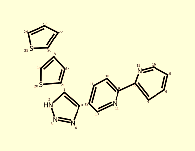 c1c[nH]nn1.c1ccc(-c2ccccn2)nc1.c1ccsc1.c1ccsc1